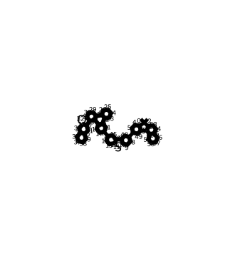 CC1(C)c2ccc(-c3ccc4sc5ccc(-c6ccc7c(c6)c6ccccc6c6ccc8oc9cc%10ccccc%10cc9c8c67)cc5c4c3)cc2-c2c1ccc1ccccc21